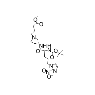 COC(=O)CCCN1CC[C@@H](NC(=O)[C@H](CCCn2ccnc2[N+](=O)[O-])NC(=O)OC(C)(C)C)C1